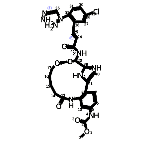 COC(=O)Nc1ccc2c(c1)NC(=O)CCCCOCC(NC(=O)/C=C/c1cc(Cl)ccc1N(N)/C=N\N)C1NC=C2N1